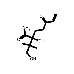 C=CC(=O)CCC(O)(C(N)=O)C(C)(C)CO